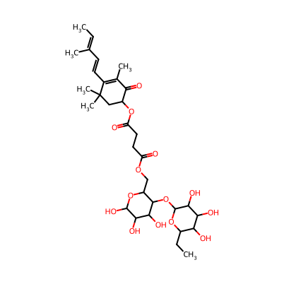 C/C=C(C)/C=C/C1=C(C)C(=O)C(OC(=O)CCC(=O)OCC2OC(O)C(O)C(O)C2OC2OC(CC)C(O)C(O)C2O)CC1(C)C